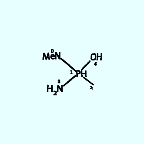 CN[PH](C)(N)O